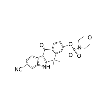 CC1(C)c2cc(OS(=O)(=O)N3CCOCC3)ccc2C(=O)c2c1[nH]c1cc(C#N)ccc21